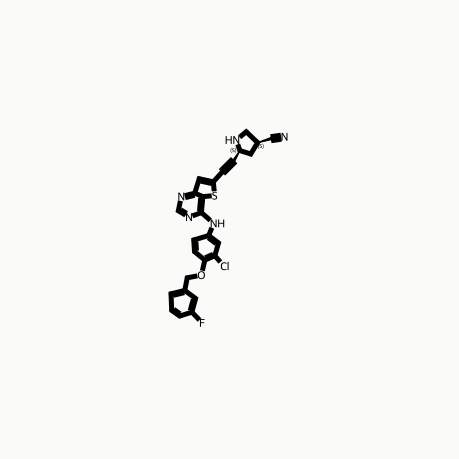 N#C[C@@H]1CN[C@H](C#Cc2cc3ncnc(Nc4ccc(OCc5cccc(F)c5)c(Cl)c4)c3s2)C1